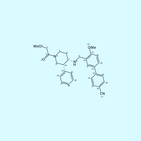 COCC(=O)N1CC[C@H](NCc2cc(-c3ccc(C#N)cc3)ccc2OC)[C@H](c2ccccc2)C1